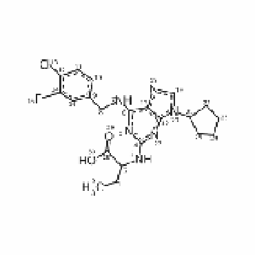 CCC(Nc1nc(NCc2ccc(Cl)c(F)c2)c2ncn(C3CCCC3)c2n1)C(=O)O